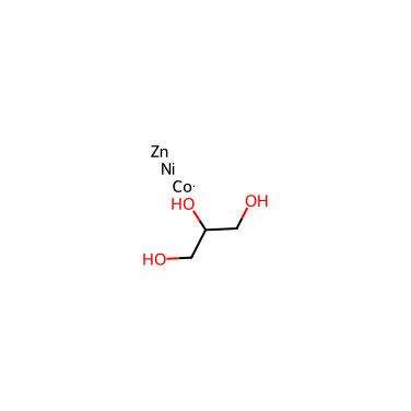 OCC(O)CO.[Co].[Ni].[Zn]